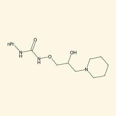 CCCNC(=O)NOCC(O)CN1CCCCC1